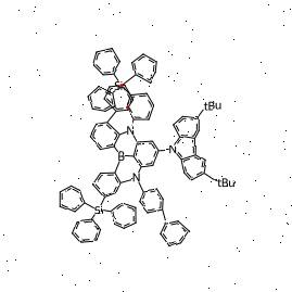 CC(C)(C)c1ccc2c(c1)c1cc(C(C)(C)C)ccc1n2-c1cc2c3c(c1)N(c1cccc([Si](c4ccccc4)(c4ccccc4)c4ccccc4)c1)c1c(cccc1-c1ccccc1)B3c1ccc([Si](c3ccccc3)(c3ccccc3)c3ccccc3)cc1N2c1ccc(-c2ccccc2)cc1